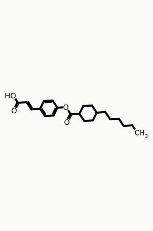 CCCCCCC1CCC(C(=O)Oc2ccc(C=CC(=O)O)cc2)CC1